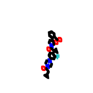 O=C1OC2(CCN(C(=O)C3(c4ccc(N5CCN(C(=O)CC6CC6)CC5)cc4F)CC3)C2)c2ccccc21